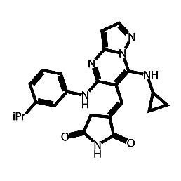 CC(C)c1cccc(Nc2nc3ccnn3c(NC3CC3)c2C=C2CC(=O)NC2=O)c1